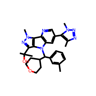 Cc1cccc(C(C2CCOCC2)n2c3cc(-c4c(C)nnn4C)cnc3c3c2c(C(C)(C)O)nn3C)c1